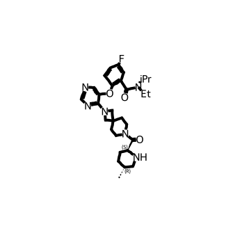 CCN(C(=O)c1cc(F)ccc1Oc1cncnc1N1CC2(CCN(C(=O)[C@@H]3CC[C@@H](C)CN3)CC2)C1)C(C)C